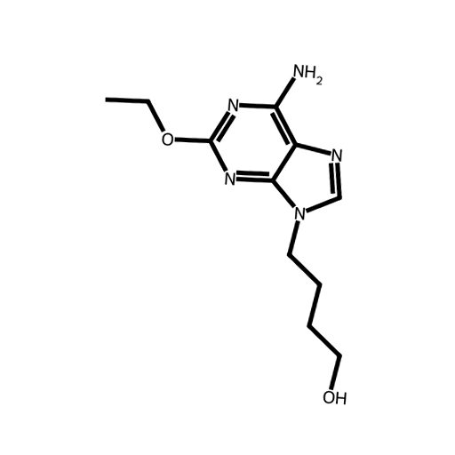 CCOc1nc(N)c2ncn(CCCCO)c2n1